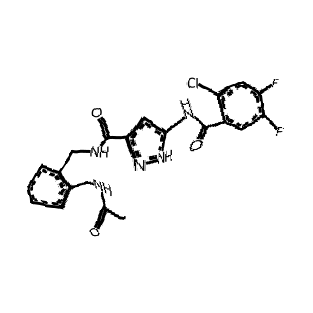 CC(=O)Nc1ccccc1CNC(=O)c1cc(NC(=O)c2cc(F)c(F)cc2Cl)[nH]n1